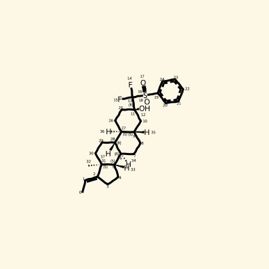 CC=C1CC[C@H]2[C@@H]3CC[C@H]4C[C@@](O)(C(F)(F)S(=O)(=O)c5ccccc5)CC[C@@H]4[C@H]3CC[C@]12C